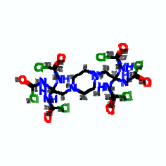 O=C(Cl)NC(CN1CCN(CC(NC(=O)Cl)(NC(=O)Cl)NC(=O)Cl)CC1)(NC(=O)Cl)NC(=O)Cl